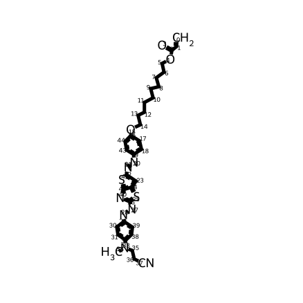 C=CC(=O)OCCCCCCCCCCOc1ccc(N=Nc2cc3sc(N=Nc4ccc(N(C)CCC#N)cc4)nc3s2)cc1